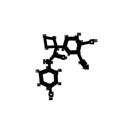 N#Cc1cc(C2(C(=O)Nc3ccc(Cl)cn3)CCC2)cnc1Cl